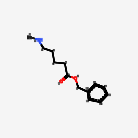 CCNCCCCC(=O)OCc1ccccc1